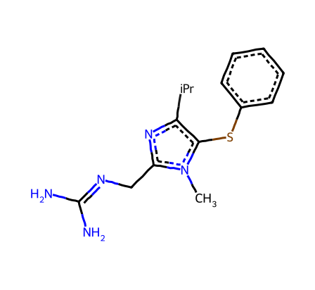 CC(C)c1nc(CN=C(N)N)n(C)c1Sc1ccccc1